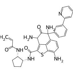 C=CC(=O)N[C@H]1CCC[C@H]1NC(=O)c1sc2c(N)ccc3c2c1C(N)C(=O)C3(N)c1cccc(-c2ccccn2)c1